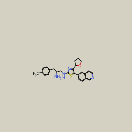 N[C@H](CNc1nc(C2CCCO2)c(-c2ccc3cnccc3c2)s1)Cc1ccc(C(F)(F)F)cc1